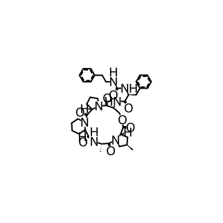 C[C@@H]1C[C@H]2C(=O)OC[C@H](NC(=O)[C@H](Cc3ccccc3)NC(=O)NCCc3ccccc3)C(=O)N3CCC[C@H]3C(=O)N3CCCC[C@H]3C(=O)N[C@@H](C)C(=O)N2C1